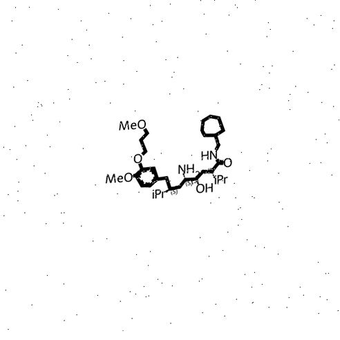 COCCCOc1cc(C[C@@H](C[C@H](N)[C@@H](O)C[C@H](C(=O)NCC2CCCCCC2)C(C)C)C(C)C)ccc1OC